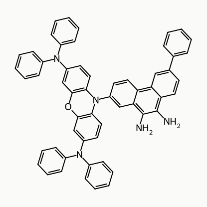 Nc1c(N)c2ccc(-c3ccccc3)cc2c2ccc(N3c4ccc(N(c5ccccc5)c5ccccc5)cc4Oc4cc(N(c5ccccc5)c5ccccc5)ccc43)cc12